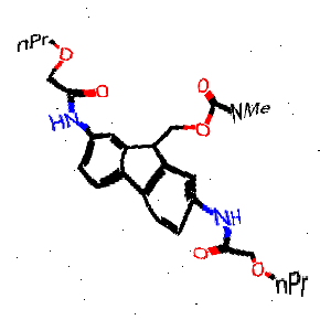 CCCOCC(=O)Nc1ccc2c(c1)C(COC(=O)NC)c1cc(NC(=O)COCCC)ccc1-2